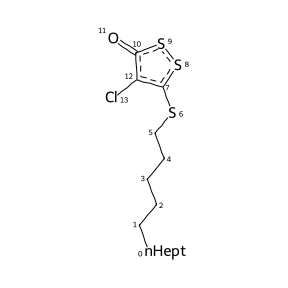 CCCCCCCCCCCCSc1ssc(=O)c1Cl